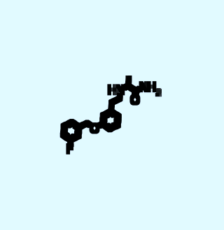 CC(NCCc1cccc(OCc2cccc(F)c2)c1)C(N)=O